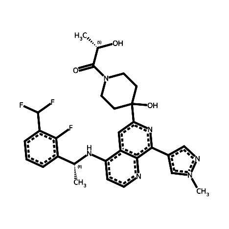 C[C@H](O)C(=O)N1CCC(O)(c2cc3c(N[C@H](C)c4cccc(C(F)F)c4F)ccnc3c(-c3cnn(C)c3)n2)CC1